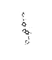 COc1cc2c(Oc3ccc(NC(=O)NCCC(C)(C)C)cc3)ccnc2cc1OCCN1CCN(C)CC1.Cl